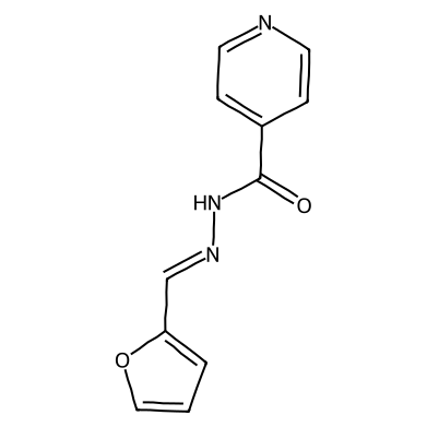 O=C(NN=Cc1ccco1)c1ccncc1